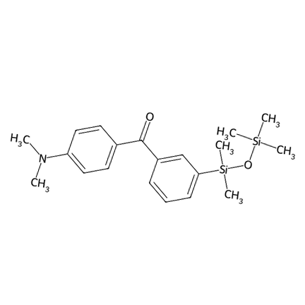 CN(C)c1ccc(C(=O)c2cccc([Si](C)(C)O[Si](C)(C)C)c2)cc1